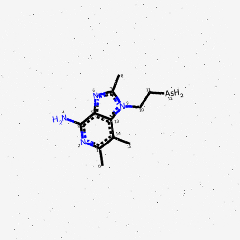 Cc1nc(N)c2nc(C)n(CC[AsH2])c2c1C